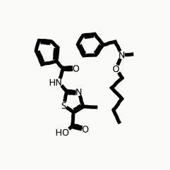 CCCCCON(C)Cc1ccccc1.Cc1nc(NC(=O)c2ccccc2)sc1C(=O)O